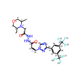 CC1COCC(C)N1CC(=O)NNC(=O)/C=C\n1cnc(-c2cc(C(F)(F)F)cc(C(F)(F)F)c2)n1